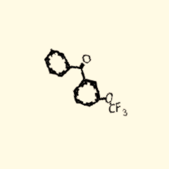 O=C(c1ccccc1)c1cccc(OC(F)(F)F)c1